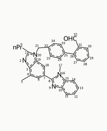 CCCc1nc2c(C)cc(-c3nc4ccccc4n3C)cc2n1Cc1ccc(-c2ccccc2C=O)cc1